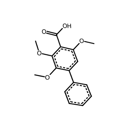 COc1cc(-c2ccccc2)c(OC)c(OC)c1C(=O)O